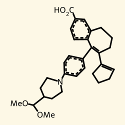 COC(OC)C1CCN(c2ccc(C3=C(C4=CCCC4)CCCc4cc(C(=O)O)ccc43)cc2)CC1